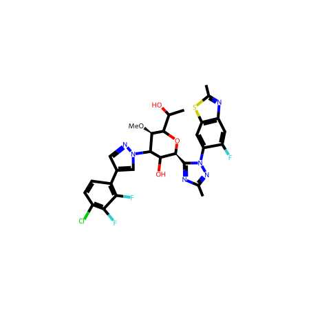 CO[C@H]1C(C(C)O)O[C@@H](c2nc(C)nn2-c2cc3sc(C)nc3cc2F)C(O)C1n1cc(-c2ccc(Cl)c(F)c2F)cn1